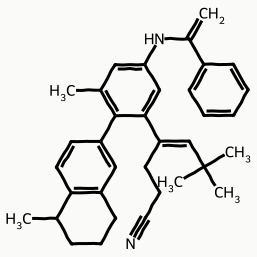 C=C(Nc1cc(C)c(-c2ccc3c(c2)CCCC3C)c(/C(=C/C(C)(C)C)CCC#N)c1)c1ccccc1